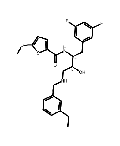 CCc1cccc(CNC[C@H](O)[C@H](Cc2cc(F)cc(F)c2)NC(=O)c2ccc(OC)s2)c1